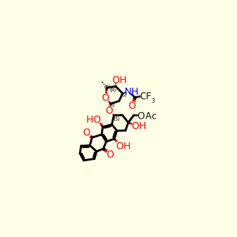 CC(=O)OCC1(O)Cc2c(O)c3c(c(O)c2[C@@H](O[C@H]2C[C@H](NC(=O)C(F)(F)F)[C@@H](O)[C@@H](C)O2)C1)C(=O)c1ccccc1C3=O